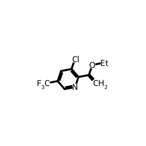 C=C(OCC)c1ncc(C(F)(F)F)cc1Cl